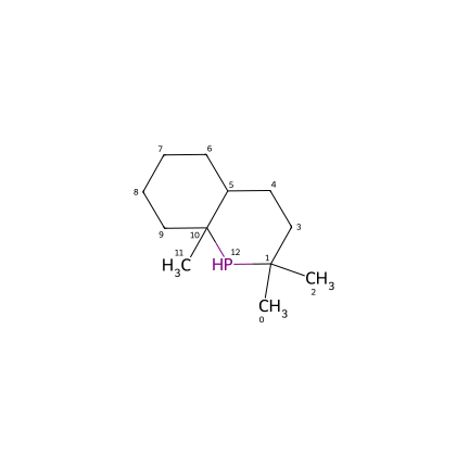 CC1(C)CCC2CCCCC2(C)P1